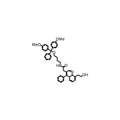 COc1ccc(C(OCCCCNC(=O)CC2=C(c3ccccc3)C3C=CC=C(CCO)C3N=C2)(c2ccccc2)c2ccc(OC)cc2)cc1